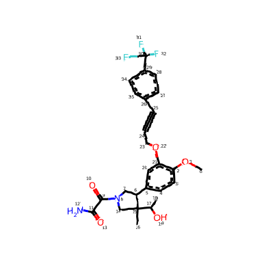 COc1ccc(C2CN(C(=O)C(N)=O)CC2(C)C(C)O)cc1OCC#Cc1ccc(C(F)(F)F)cc1